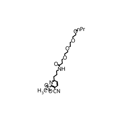 CCCOCCOCCOCCOCCC(=O)NCCCc1ccc(C#N)c(S(C)(=O)=O)n1